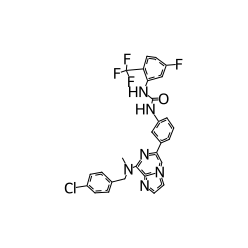 CN(Cc1ccc(Cl)cc1)c1nc(-c2cccc(NC(=O)Nc3cc(F)ccc3C(F)(F)F)c2)cn2ccnc12